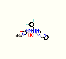 CCCCN1CC(C(=O)N[C@@H](Cc2cc(F)cc(F)c2)[C@H](O)[C@H]2CN(Cc3ccccn3)CCN2)CC1=O